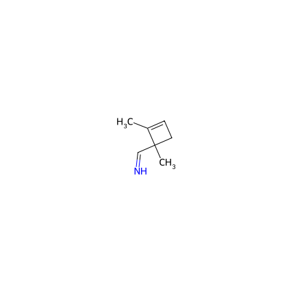 CC1=CCC1(C)C=N